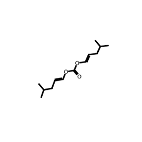 CC(C)CC=COC(=O)OC=CCC(C)C